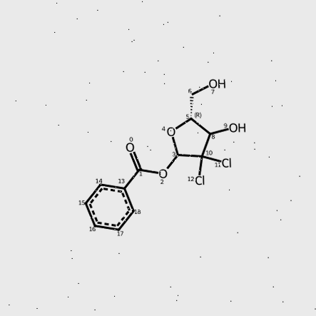 O=C(OC1O[C@H](CO)C(O)C1(Cl)Cl)c1ccccc1